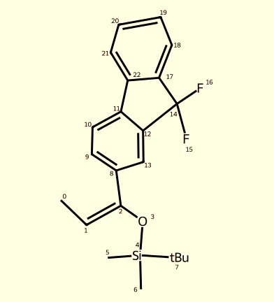 C/C=C(/O[Si](C)(C)C(C)(C)C)c1ccc2c(c1)C(F)(F)c1ccccc1-2